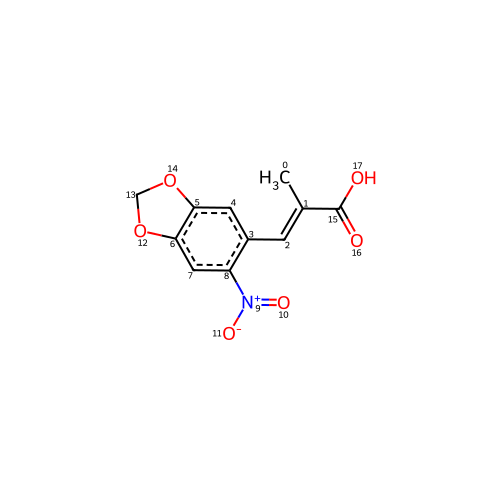 CC(=Cc1cc2c(cc1[N+](=O)[O-])OCO2)C(=O)O